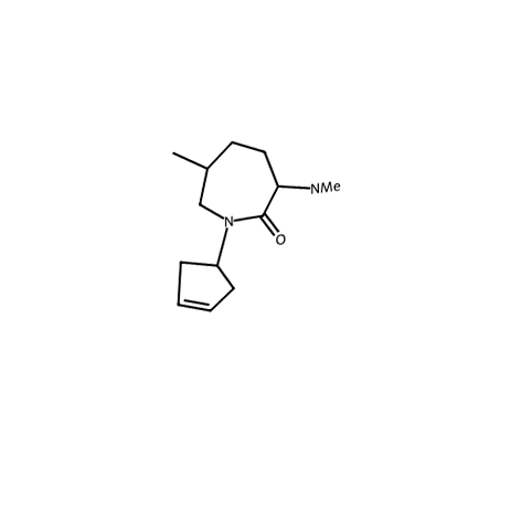 CNC1CCC(C)CN(C2CC=CC2)C1=O